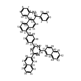 c1ccc(-c2nc3ccccc3c3c2ccc2c(-c4ccc(-c5nc(-c6ccc7ccccc7c6)nc(-c6ccc7ccccc7c6)n5)cc4)cccc23)cc1